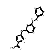 O=C(O)c1ccc(Oc2cccc(OCc3ccccc3)c2)cn1